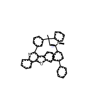 C=N/C(=C\C(C)(c1ccccc1)c1cccc(-c2nc3ccccc3c3oc4ccccc4c23)c1)c1ccc(-c2ccccc2)cc1